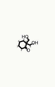 O=C1CCCCC1(CO)CO